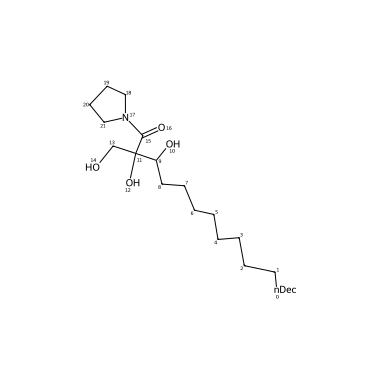 CCCCCCCCCCCCCCCCCCC(O)C(O)(CO)C(=O)N1CCCC1